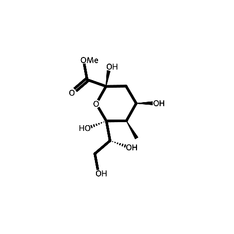 COC(=O)[C@]1(O)C[C@@H](O)[C@@H](C)[C@@](O)([C@H](O)CO)O1